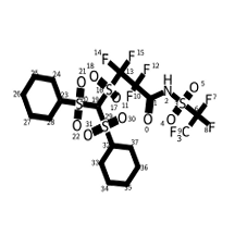 O=C(NS(=O)(=O)C(F)(F)C(F)(F)F)C(F)(F)C(F)(F)S(=O)(=O)C(S(=O)(=O)C1CCCCC1)S(=O)(=O)C1CCCCC1